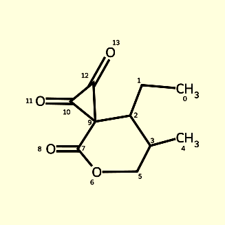 CCC1C(C)COC(=O)C12C(=O)C2=O